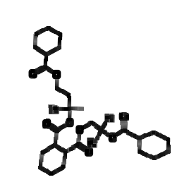 CCC(C)(CCOC(=O)C1CCCCC1)OC(=O)C1CCCCC1C(=O)OCC(CC)(CC)OC(=O)C1CCCCC1